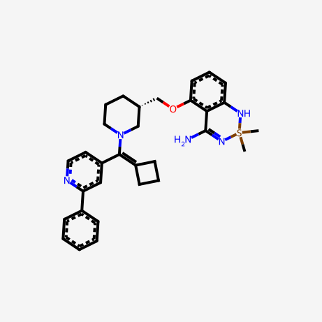 CS1(C)N=C(N)c2c(cccc2OC[C@H]2CCCN(C(=C3CCC3)c3ccnc(-c4ccccc4)c3)C2)N1